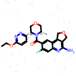 CCOc1ccc([C@@H]2COC[C@H](C)N2C(=O)c2cc3c4c(c(N)nc3cc2F)COC4)nn1